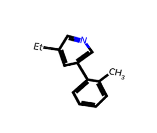 CCc1cncc(-c2ccccc2C)c1